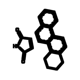 O=C1C=CC(=O)N1.c1ccc2c(c1)ccc1c3c(ccc12)CCCC3